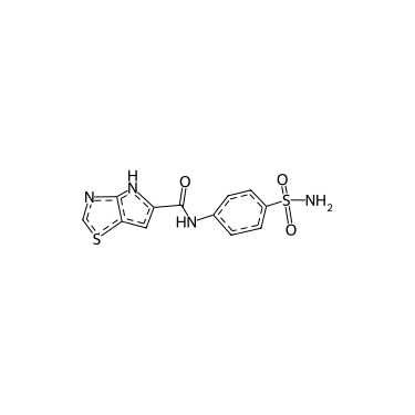 NS(=O)(=O)c1ccc(NC(=O)c2cc3scnc3[nH]2)cc1